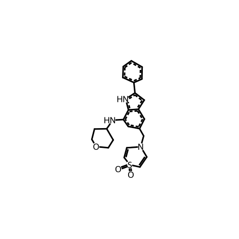 O=S1(=O)C=CN(Cc2cc(NC3CCOCC3)c3[nH]c(-c4ccccc4)cc3c2)C=C1